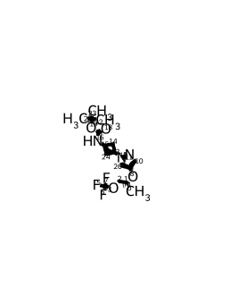 C[C@H](COC(F)(F)F)Oc1cnn(C23CC(NC(=O)OC(C)(C)C)(C2)C3)c1